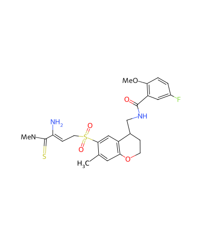 CNC(=S)C(N)=CCS(=O)(=O)c1cc2c(cc1C)OCCC2CNC(=O)c1cc(F)ccc1OC